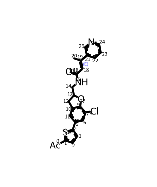 CC(=O)c1ccc(-c2cc(Cl)c3c(c2)CC(CNC(=O)/C=C(\C)c2cccnc2)O3)s1